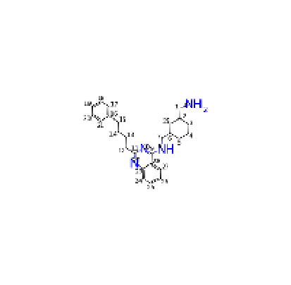 NCC1CCCC(CNc2nc(CCCCc3ccccc3)nc3ccccc23)C1